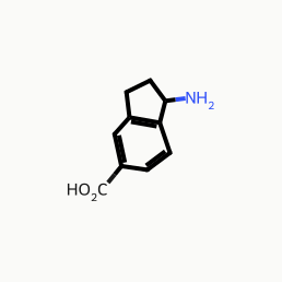 NC1CCc2cc(C(=O)O)ccc21